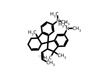 C/C=C\C1C(C)(C)c2ccc(N(C)C)cc2C12c1cc(N(C)C)ccc1C1(C)CCC=CC12